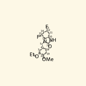 CCOc1cc(Cn2c(=O)[nH]c3cc(F)cc(F)c32)ccc1OC